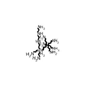 NCCCC(N)(CCCN)C(CCN)(CCCN)CCCN.NCCCNCCCNCCCCN(CCCN)CCCN